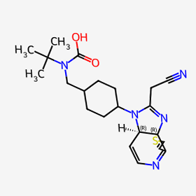 CC(C)(C)N(CC1CCC(N2C(CC#N)=N[C@]34SC=CC3=NC=C[C@@H]24)CC1)C(=O)O